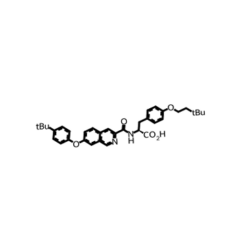 CC(C)(C)CCOc1ccc(C[C@H](NC(=O)c2cc3ccc(Oc4ccc(C(C)(C)C)cc4)cc3cn2)C(=O)O)cc1